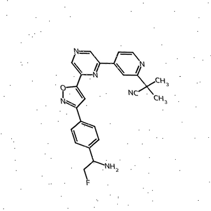 CC(C)(C#N)c1cc(-c2cncc(-c3cc(-c4ccc(C(N)CF)cc4)no3)n2)ccn1